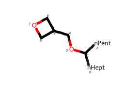 CCCCCCCC(CCCCC)OCC1COC1